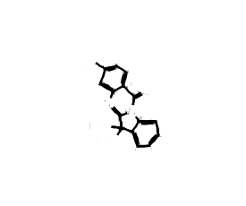 CC1(C)c2ccccc2-n2c1nc1cc(Br)ccc1c2=O